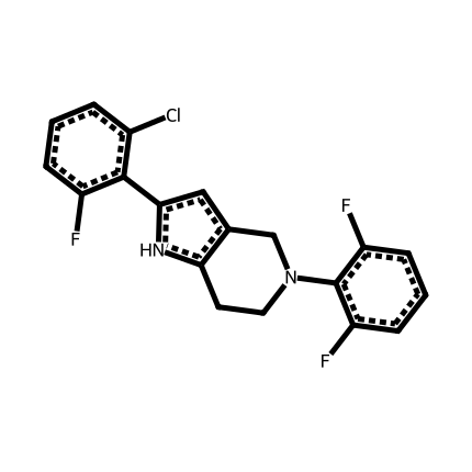 Fc1cccc(Cl)c1-c1cc2c([nH]1)CCN(c1c(F)cccc1F)C2